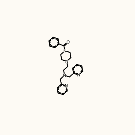 O=C(c1ccccc1)N1CCN(CCN(Cc2ccccn2)Cc2ccccn2)CC1